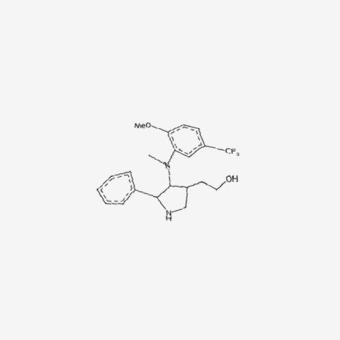 COc1ccc(C(F)(F)F)cc1N(C)C1C(CCO)CNC1c1ccccc1